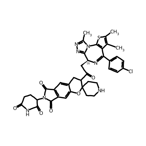 Cc1sc2c(c1C)C(c1ccc(Cl)cc1)=N[C@@H](CC(=O)C1Cc3cc4c(cc3OC13CCNCC3)C(=O)N(C1CCC(=O)NC1=O)C4=O)c1nnc(C)n1-2